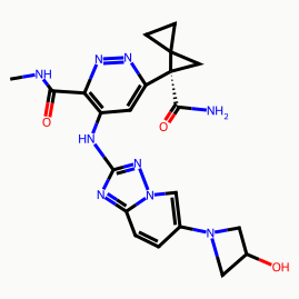 CNC(=O)c1nnc([C@]2(C(N)=O)CC23CC3)cc1Nc1nc2ccc(N3CC(O)C3)cn2n1